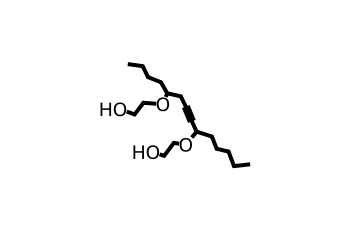 CCCCCC(C#CCC(CCCC)OCCO)OCCO